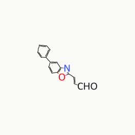 O=CC=Cc1nc2cc(-c3ccccc3)ccc2o1